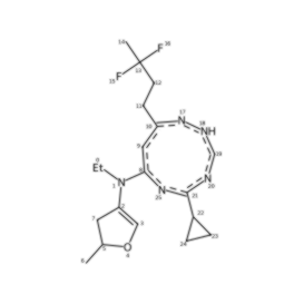 CCN(C1=COC(C)C1)c1cc(CCC(C)(F)F)n[nH]cnc(C2CC2)n1